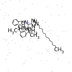 CCCCCCCCCCCCn1nnc(/C(=N/OCc2ccccc2)C(=O)Nc2c(C(C)C)cccc2C(C)C)n1